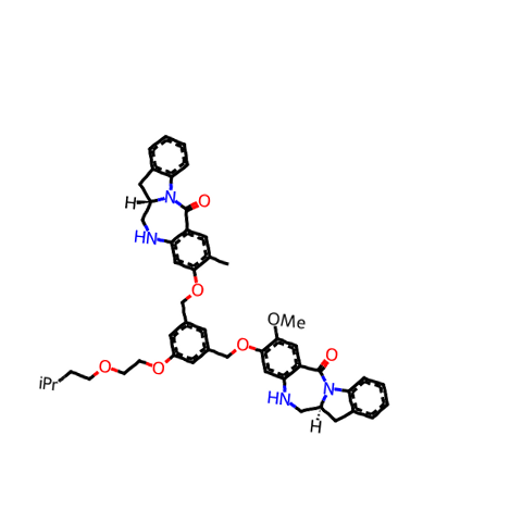 COc1cc2c(cc1OCc1cc(COc3cc4c(cc3C)C(=O)N3c5ccccc5C[C@H]3CN4)cc(OCCOCCC(C)C)c1)NC[C@@H]1Cc3ccccc3N1C2=O